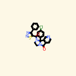 O=C1c2ccncc2C2(c3ccc(Cl)cc3)N1CCN2C(=O)c1snnc1-c1ccccc1